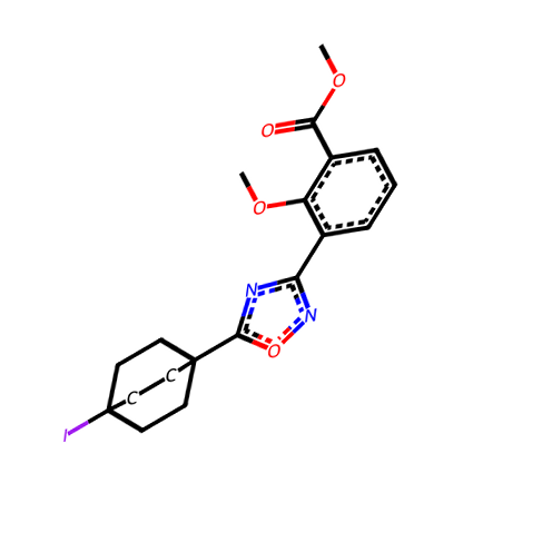 COC(=O)c1cccc(-c2noc(C34CCC(I)(CC3)CC4)n2)c1OC